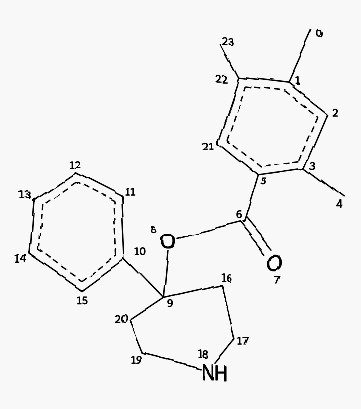 Cc1cc(C)c(C(=O)OC2(c3ccccc3)CCNCC2)cc1C